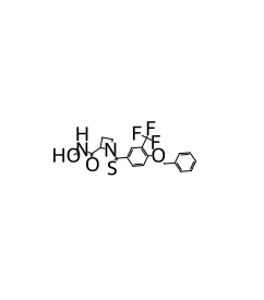 O=C(NO)C1CCN1C(=S)c1ccc(OCc2ccccc2)c(C(F)(F)F)c1